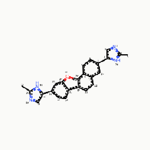 Cc1ncc(-c2ccc3c(ccc4c5ccc(-c6cnc(C)[nH]6)cc5oc34)c2)[nH]1